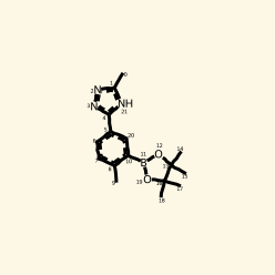 Cc1nnc(-c2ccc(C)c(B3OC(C)(C)C(C)(C)O3)c2)[nH]1